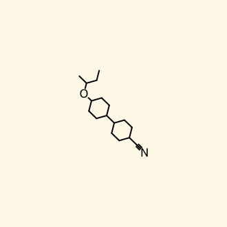 CCC(C)OC1CCC(C2CCC(C#N)CC2)CC1